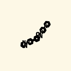 C1=C(c2ccc3nc(N4CCC(N5CCCCC5)CC4)oc3c2)CCN(c2ncccn2)C1